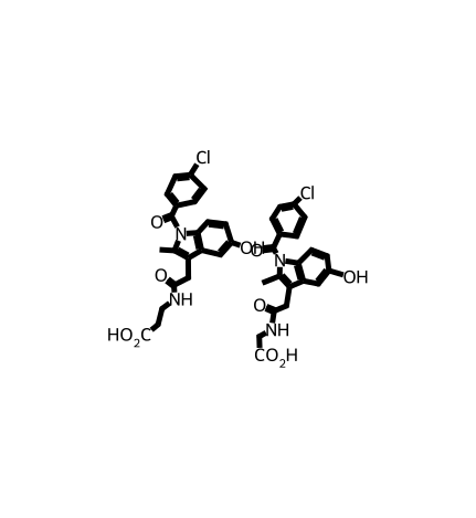 Cc1c(CC(=O)NCC(=O)O)c2cc(O)ccc2n1C(=O)c1ccc(Cl)cc1.Cc1c(CC(=O)NCCC(=O)O)c2cc(O)ccc2n1C(=O)c1ccc(Cl)cc1